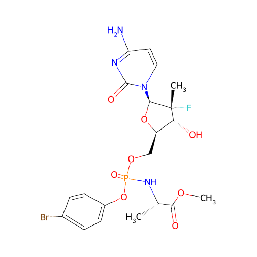 COC(=O)[C@H](C)NP(=O)(OC[C@H]1O[C@@H](n2ccc(N)nc2=O)[C@](C)(F)[C@@H]1O)Oc1ccc(Br)cc1